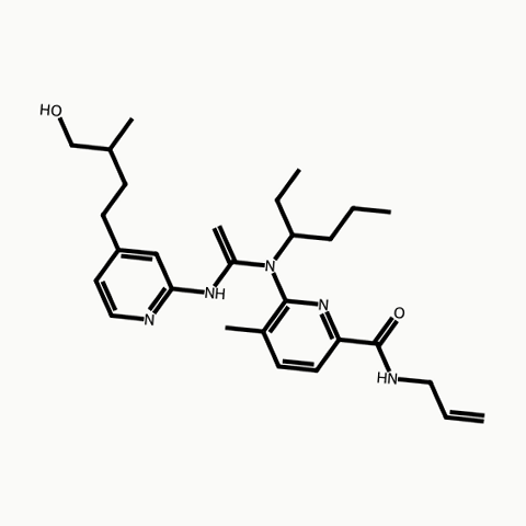 C=CCNC(=O)c1ccc(C)c(N(C(=C)Nc2cc(CCC(C)CO)ccn2)C(CC)CCC)n1